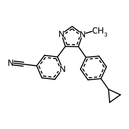 Cn1cnc(-c2cc(C#N)ccn2)c1-c1ccc(C2CC2)cc1